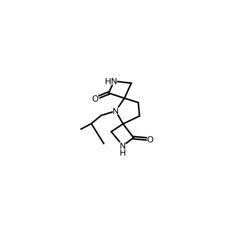 CC(C)CN1C2(CCC13CNC3=O)CNC2=O